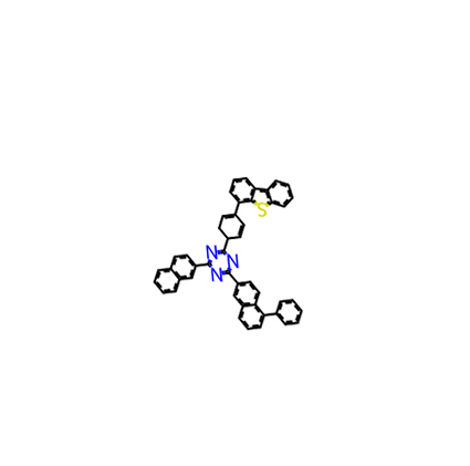 C1=CC(c2nc(-c3ccc4ccccc4c3)nc(-c3ccc4c(-c5ccccc5)cccc4c3)n2)CC=C1c1cccc2c1sc1ccccc12